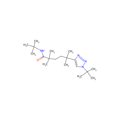 CC(C)(C)NC(=O)C(C)(C)CCC(C)(C)c1cn(C(C)(C)C)nn1